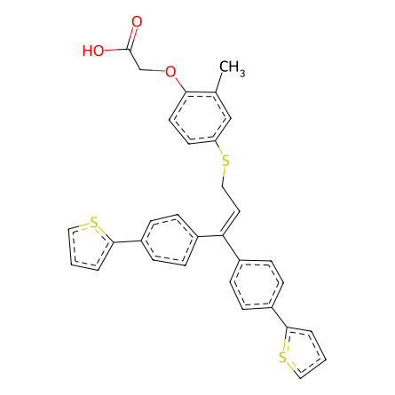 Cc1cc(SCC=C(c2ccc(-c3cccs3)cc2)c2ccc(-c3cccs3)cc2)ccc1OCC(=O)O